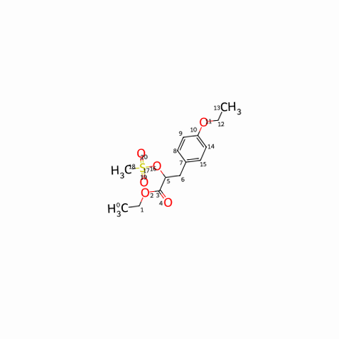 CCOC(=O)C(Cc1ccc(OCC)cc1)OS(C)(=O)=O